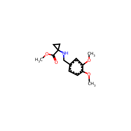 COC(=O)C1(NCc2ccc(OC)c(OC)c2)CC1